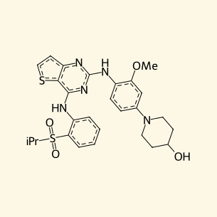 COc1cc(N2CCC(O)CC2)ccc1Nc1nc(Nc2ccccc2S(=O)(=O)C(C)C)c2sccc2n1